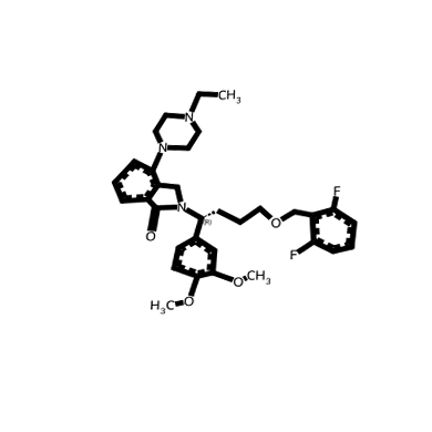 CCN1CCN(c2cccc3c2CN([C@H](CCCOCc2c(F)cccc2F)c2ccc(OC)c(OC)c2)C3=O)CC1